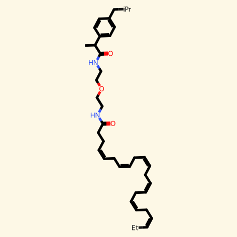 CC/C=C\C/C=C\C/C=C\C/C=C\C/C=C\C/C=C\CCC(=O)NCCOCCNC(=O)C(C)c1ccc(CC(C)C)cc1